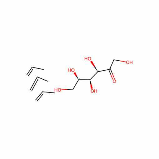 C=CC.C=CC.C=CC.O=C(CO)[C@H](O)[C@@H](O)[C@H](O)CO